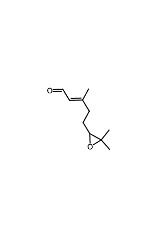 CC(=CC=O)CCC1OC1(C)C